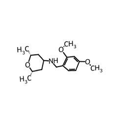 COc1ccc(CNC2C[C@@H](C)O[C@@H](C)C2)c(OC)c1